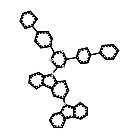 c1ccc(-c2ccc(-c3nc(-c4ccc(-c5ccccc5)cc4)nc(-n4c5ccccc5c5cc(-n6c7ccccc7c7ccccc76)ccc54)n3)cc2)cc1